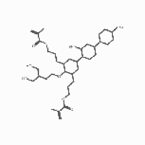 C=C(C)C(=O)OCCCC1CC(C2CCC(C3CCC(CCCC)CC3)CC2CCC)CC(CCCOC(=O)C(=C)C)C1OCCC(CO)CO